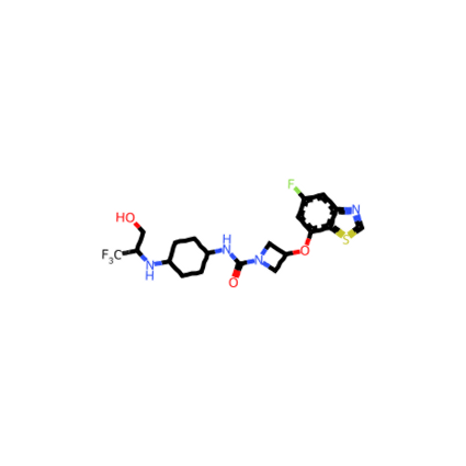 O=C(NC1CCC(NC(CO)C(F)(F)F)CC1)N1CC(Oc2cc(F)cc3ncsc23)C1